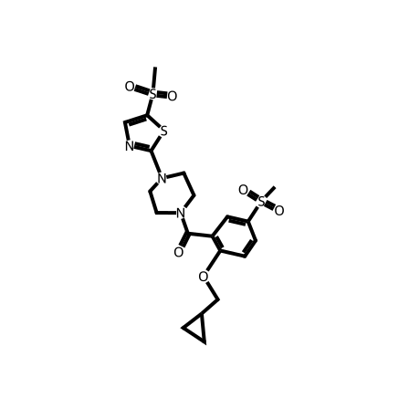 CS(=O)(=O)c1ccc(OCC2CC2)c(C(=O)N2CCN(c3ncc(S(C)(=O)=O)s3)CC2)c1